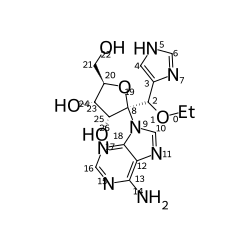 CCOC(c1c[nH]cn1)[C@@]1(n2cnc3c(N)ncnc32)O[C@H](CO)[C@@H](O)[C@H]1O